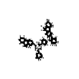 CC1(C)c2ccccc2-c2ccc(-c3nc(-c4ccccc4)nc(-c4ccc(-n5c6ccccc6c6cc7c(cc65)C(C)(C)c5ccccc5-7)cc4)n3)cc21